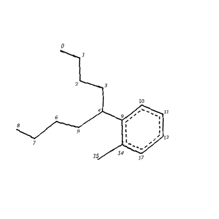 CCCCC(CCCC)c1ccccc1C